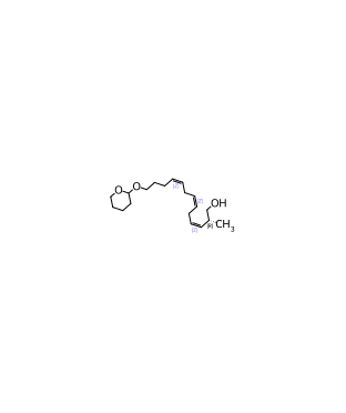 C[C@H](/C=C\C/C=C\C/C=C\CCCOC1CCCCO1)CO